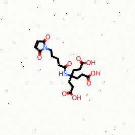 O=C(O)CCC(CCC(=O)O)(CCC(=O)O)NC(=O)CCCCN1C(=O)C=CC1=O